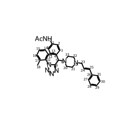 CC(=O)Nc1ccc(C(c2nnnn2-c2c(C)cccc2C)N2CCN(C/C=C/c3ccccc3)CC2)cc1